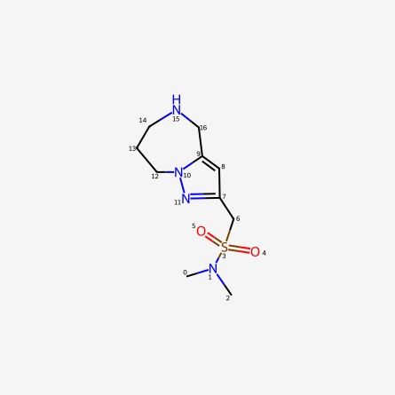 CN(C)S(=O)(=O)Cc1cc2n(n1)CCCNC2